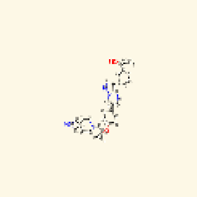 C[C@H](O)c1cccc(-c2cnn3cc(-c4ccc(OC5(CN6CCC7(CC6)CNC7)CC5)cc4)cnc23)c1